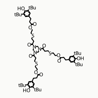 CC(C)(C)c1cc(CCC(=O)OCCSCCC(=O)N2CN(C(=O)CCSCCOC(=O)CCc3cc(C(C)(C)C)c(O)c(C(C)(C)C)c3)CN(C(=O)CCSCCOC(=O)CCc3cc(C(C)(C)C)c(O)c(C(C)(C)C)c3)C2)cc(C(C)(C)C)c1O